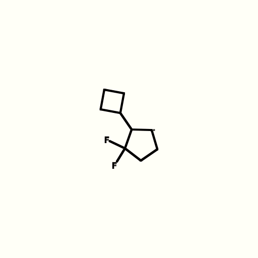 FC1(F)CC[CH]C1C1CCC1